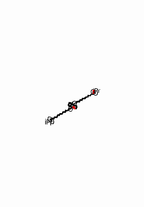 CC(C)OC(=O)CCCCCCCCCCCCCOc1c2ccccc2c(OCCCCCCCCCCCCCC(=O)OC(C)C)c2ccccc12